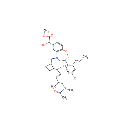 CCCc1cc(Cl)ccc1C1COc2ccc(C(O)C(=O)OC)cc2N(CC2CCC2C(O)/C=C/C(C)CN(C)C(C)=O)C1